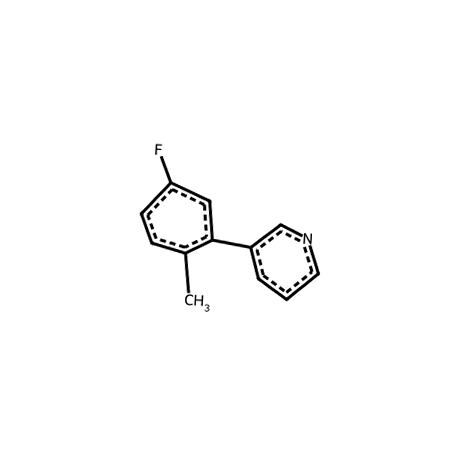 Cc1ccc(F)cc1-c1cccnc1